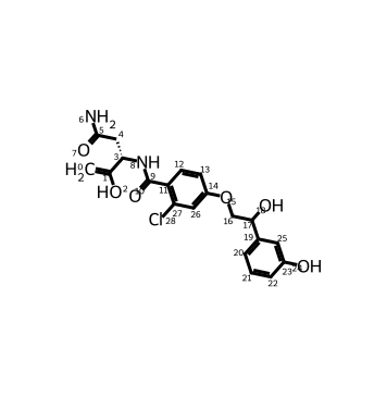 C=C(O)[C@H](CC(N)=O)NC(=O)c1ccc(OCC(O)c2cccc(O)c2)cc1Cl